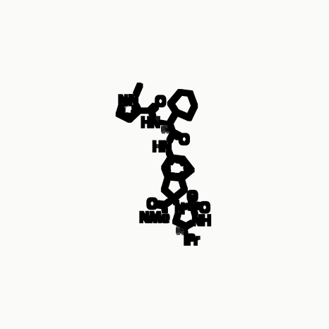 CNC(=O)C1(N2C[C@@H](C(C)C)NS2(=O)=O)Cc2ccc(NC(=O)[C@@H](NC(=O)c3ccnn3C)C3CCCCC3)cc2C1